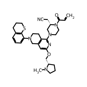 C=CC(=O)N1CCN(c2nc(OC[C@@H]3CCCN3C)cc3c2CCN(c2cccc4c2SCCC4)C3)C[C@@H]1CC#N